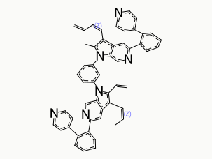 C=C/C=C\c1c(C)n(-c2cccc(-n3c(C=C)c(/C=C\C)c4cc(-c5ccccc5-c5ccncc5)ncc43)c2)c2cnc(-c3ccccc3-c3ccncc3)cc12